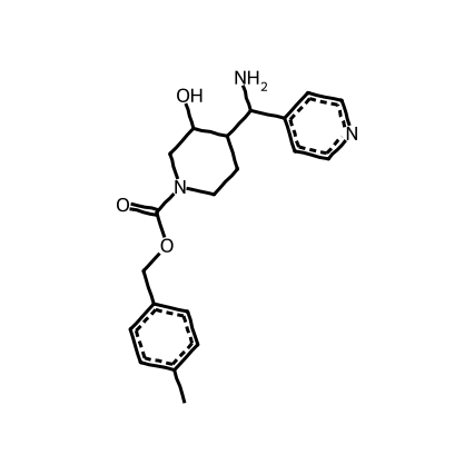 Cc1ccc(COC(=O)N2CCC(C(N)c3ccncc3)C(O)C2)cc1